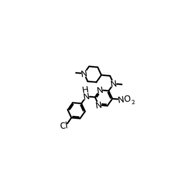 CN1CCC(CN(C)c2nc(Nc3ccc(Cl)cc3)ncc2[N+](=O)[O-])CC1